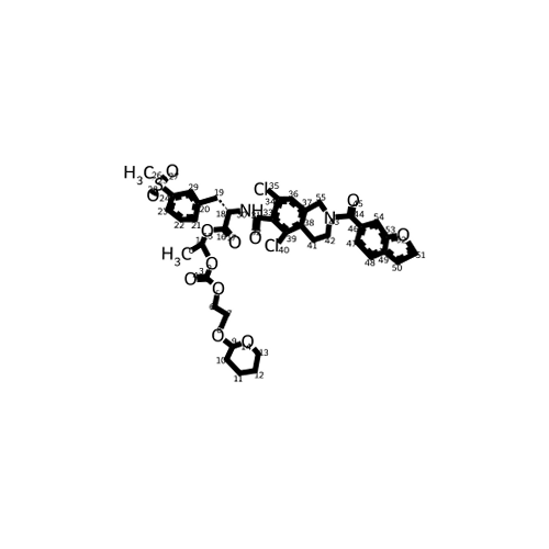 CC(OC(=O)OCCOC1CCCCO1)OC(=O)[C@H](Cc1cccc(S(C)(=O)=O)c1)NC(=O)c1c(Cl)cc2c(c1Cl)CCN(C(=O)c1ccc3ccoc3c1)C2